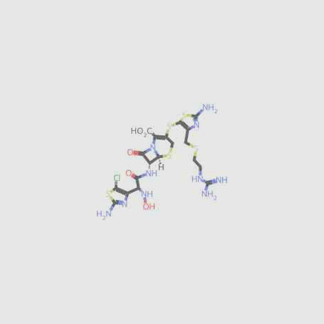 N=C(N)NCCSCc1nc(N)sc1SC1=C(C(=O)O)N2C(=O)[C@@H](NC(=O)C(NO)c3nc(N)sc3Cl)[C@@H]2SC1